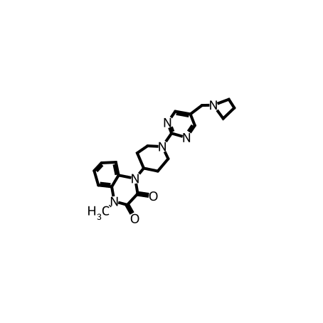 Cn1c(=O)c(=O)n(C2CCN(c3ncc(CN4CCC4)cn3)CC2)c2ccccc21